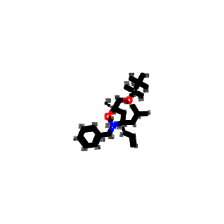 C=CC[C@@]1(CC(C)C)C[C@](C)(CO[Si](C)(C)C(C)(C)C)ON1Cc1ccccc1